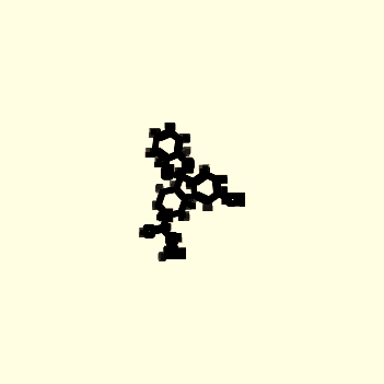 CC(C)(C)OC(=O)N1CCC(C2(c3ccc(C#N)cc3)Oc3ccccc3O2)CC1